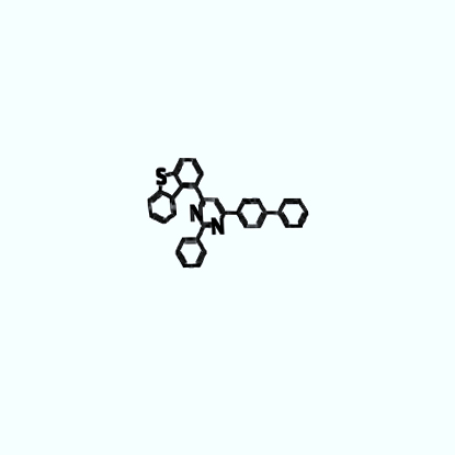 c1ccc(-c2ccc(-c3cc(-c4cccc5sc6ccccc6c45)nc(-c4ccccc4)n3)cc2)cc1